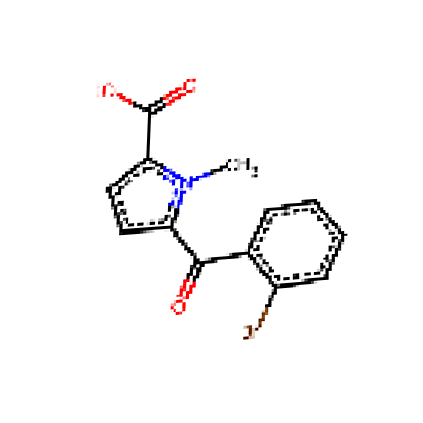 Cn1c(C(=O)O)ccc1C(=O)c1ccccc1Br